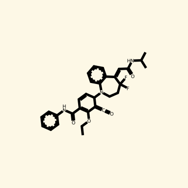 CCOC1=C(C(=O)Nc2ccccc2)C=CC(N2CCC(F)(F)C(=CC(=O)NC(C)C)c3ccccc32)C1=C=O